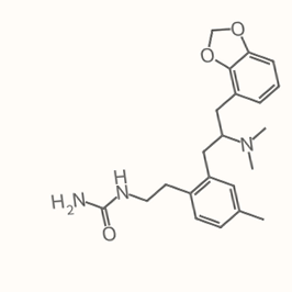 Cc1ccc(CCNC(N)=O)c(CC(Cc2cccc3c2OCO3)N(C)C)c1